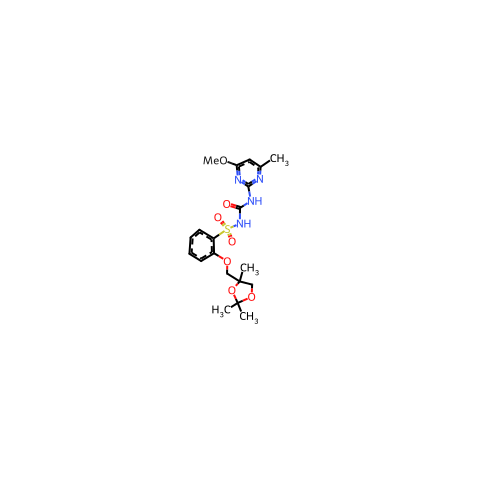 COc1cc(C)nc(NC(=O)NS(=O)(=O)c2ccccc2OCC2(C)COC(C)(C)O2)n1